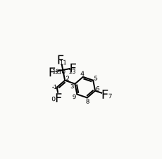 F/[C]=C(\c1ccc(F)cc1)C(F)(F)F